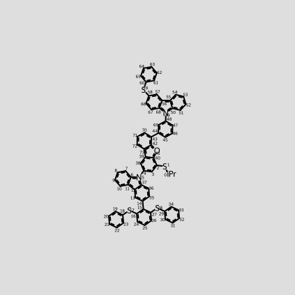 CC(C)Sc1cc(-n2c3ccccc3c3cc(-c4c(Sc5ccccc5)cccc4Sc4ccccc4)ccc32)cc2c1oc1c(-c3cccc(-n4c5ccccc5c5cc(Sc6ccccc6)ccc54)c3)cccc12